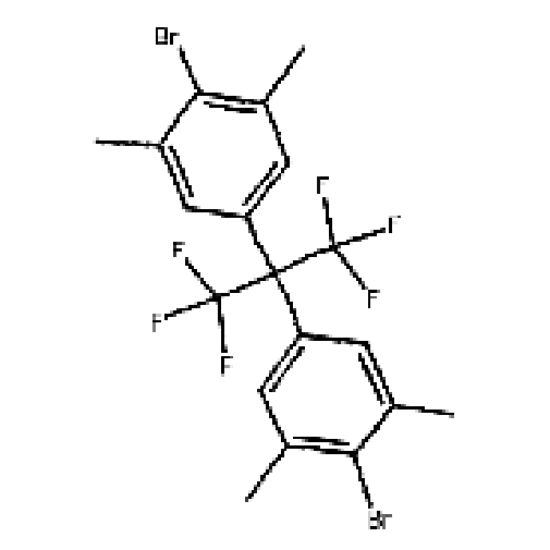 Cc1cc(C(c2cc(C)c(Br)c(C)c2)(C(F)(F)F)C(F)(F)F)cc(C)c1Br